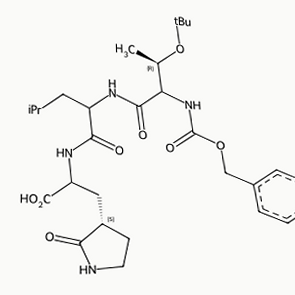 CC(C)CC(NC(=O)C(NC(=O)OCc1ccccc1)[C@@H](C)OC(C)(C)C)C(=O)NC(C[C@@H]1CCNC1=O)C(=O)O